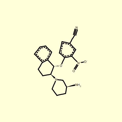 N#Cc1ccc(O[C@H]2c3ccccc3CC[C@@H]2N2CCC[C@H](N)C2)c([N+](=O)[O-])c1